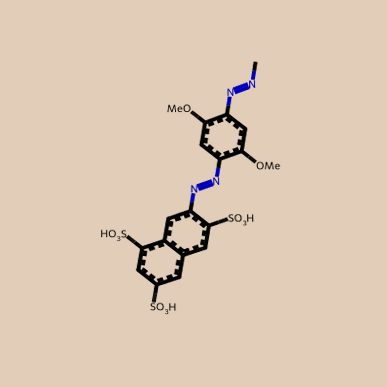 CN=Nc1cc(OC)c(N=Nc2cc3c(S(=O)(=O)O)cc(S(=O)(=O)O)cc3cc2S(=O)(=O)O)cc1OC